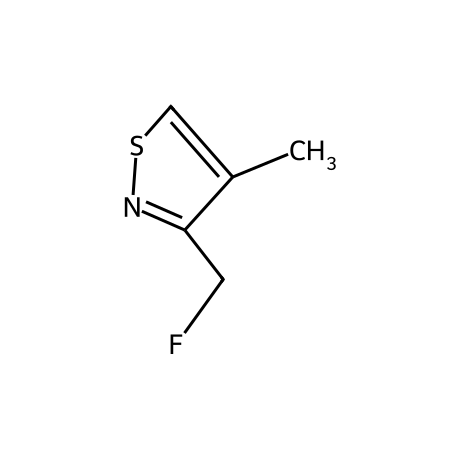 Cc1csnc1CF